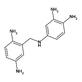 Nc1ccc(N)c(CNc2ccc(N)c(N)c2)c1